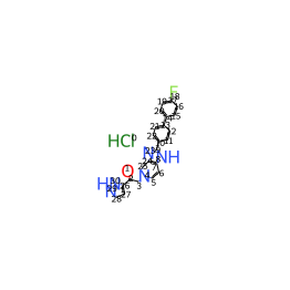 Cl.O=C(CN1C=Cc2[nH]c(-c3ccc(-c4ccc(F)cc4)cc3)nc2C1)c1ccn[nH]1